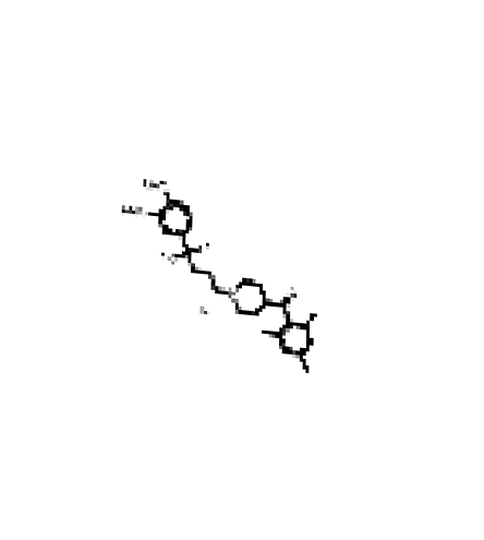 COc1ccc(C(C#N)(CCCN2CCC(C(=O)c3c(C)cc(C)cc3C)CC2)C(C)C)cc1OC.Cl